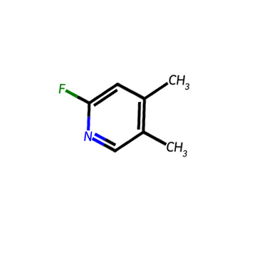 Cc1cnc(F)cc1C